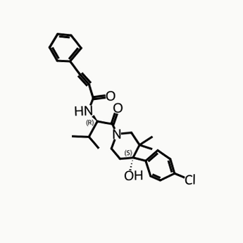 CC(C)[C@@H](NC(=O)C#Cc1ccccc1)C(=O)N1CC[C@](O)(c2ccc(Cl)cc2)C(C)(C)C1